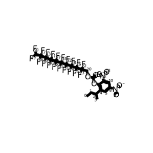 CCC(C)c1cc([N+](=O)[O-])cc([N+](=O)[O-])c1OC(=O)OCC(F)(F)C(F)(F)C(F)(F)C(F)(F)C(F)(F)C(F)(F)C(F)(F)C(F)(F)C(F)(F)C(F)F